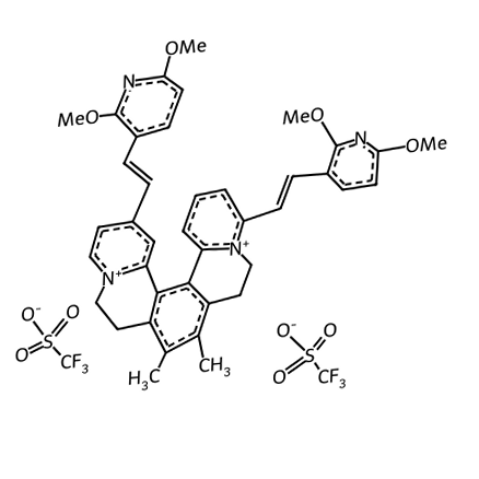 COc1ccc(/C=C/c2cc[n+]3c(c2)-c2c(c(C)c(C)c4c2-c2cccc(/C=C/c5ccc(OC)nc5OC)[n+]2CC4)CC3)c(OC)n1.O=S(=O)([O-])C(F)(F)F.O=S(=O)([O-])C(F)(F)F